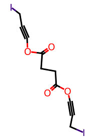 O=C(CCC(=O)OC#CCI)OC#CCI